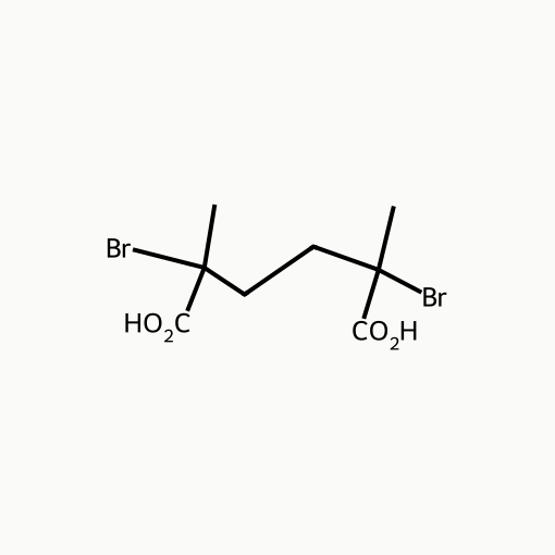 CC(Br)(CCC(C)(Br)C(=O)O)C(=O)O